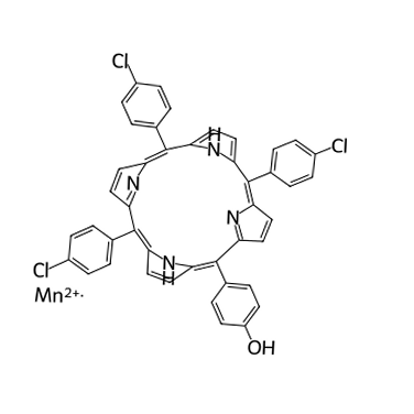 Oc1ccc(-c2c3nc(c(-c4ccc(Cl)cc4)c4ccc([nH]4)c(-c4ccc(Cl)cc4)c4nc(c(-c5ccc(Cl)cc5)c5ccc2[nH]5)C=C4)C=C3)cc1.[Mn+2]